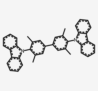 Cc1cc(-c2cc(C)c(-n3c4ccccc4c4ccccc43)c(C)c2)cc(C)c1-n1c2ccccc2c2ccccc21